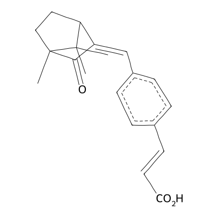 CC12CCC(C(=Cc3ccc(C=CC(=O)O)cc3)C1=O)C2(C)C